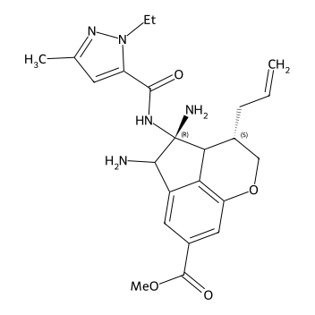 C=CC[C@@H]1COc2cc(C(=O)OC)cc3c2C1[C@@](N)(NC(=O)c1cc(C)nn1CC)C3N